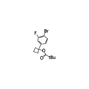 CC(C)(C)C(=O)OC1(c2ccc(Br)c(F)c2)CCC1